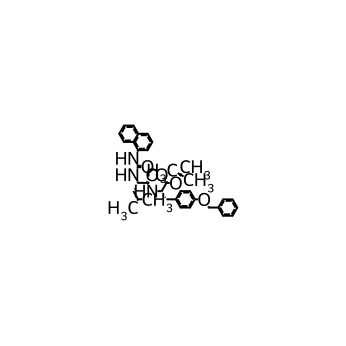 CC(C)C[C@H](NC(=O)Nc1cccc2ccccc12)C(=O)N[C@@H](Cc1ccc(OCc2ccccc2)cc1)C(=O)OC(C)(C)C